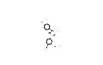 COc1ccc(C2(C)NC(=O)N(c3ccc(C#N)c(OC)c3)C2=O)cc1